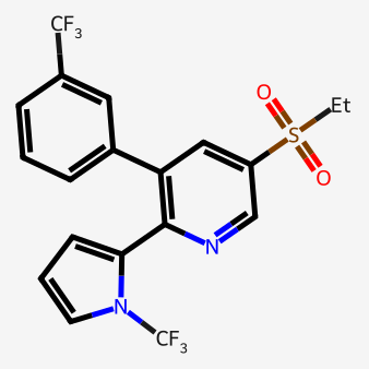 CCS(=O)(=O)c1cnc(-c2cccn2C(F)(F)F)c(-c2cccc(C(F)(F)F)c2)c1